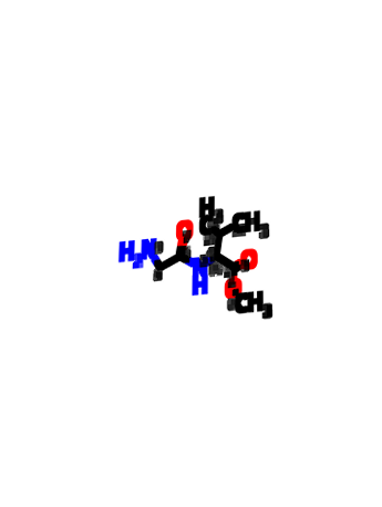 COC(=O)[C@@H](NC(=O)CN)C(C)C